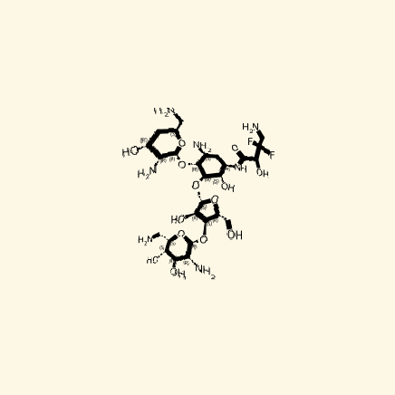 NC[C@@H]1C[C@@H](O)[C@@H](N)[C@@H](O[C@H]2[C@H](O[C@@H]3O[C@H](CO)[C@@H](O[C@H]4O[C@@H](CN)[C@@H](O)[C@H](O)[C@H]4N)[C@H]3O)[C@@H](O)[C@H](NC(=O)C(O)C(F)(F)CN)C[C@@H]2N)O1